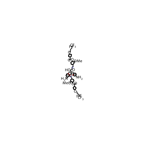 COc1cc(/C=C/C(=O)C(O)C(Cc2ccc(N)cc2)(Cc2ccc(N)cc2)C(O)C(=O)/C=C/c2ccc(OC(=O)c3ccc(OCCCC(F)(F)C(F)(F)F)cc3)c(OC)c2)ccc1OC(=O)c1ccc(OCCCC(F)(F)C(F)(F)F)cc1